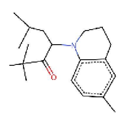 Cc1ccc2c(c1)CCCN2C(CC(C)C)C(=O)C(C)(C)C